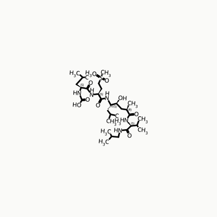 CC(C)CNC(=O)[C@@H](NC(=O)[C@H](C)C[C@H](O)[C@H](CC(C)C)NC(=O)[C@H](CCS(C)(=O)=O)NC(=O)[C@H](CC(C)C)NC(=O)O)C(C)C